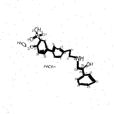 CS(=O)(=O)c1cc(-c2ccc(CCNC[C@@H](O)c3ccccc3)cc2)ccc1C(=O)O.Cl